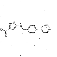 O=C(O)c1cc(OCc2ccc(-c3ccccc3)cc2)on1